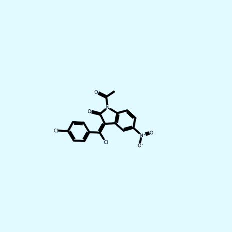 CC(=O)N1C(=O)/C(=C(/Cl)c2ccc(Cl)cc2)c2cc([N+](=O)[O-])ccc21